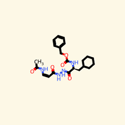 CC(=O)N/C=C\C(=O)NNC(=O)[C@H](CC1CCCCC1)NC(=O)OCc1ccccc1